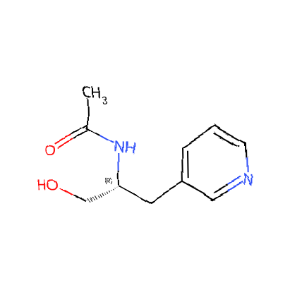 CC(=O)N[C@@H](CO)Cc1cccnc1